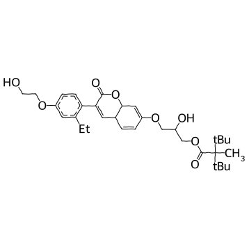 CCc1cc(OCCO)ccc1C1=CC2C=CC(OCC(O)COC(=O)C(C)(C(C)(C)C)C(C)(C)C)=CC2OC1=O